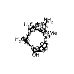 C=C1CC2CC[C@]34C[C@@H](O)C(O3)C3O[C@H]5CCC(CC(=O)CC6C(C[C@H]7O[C@@H](CC[C@@H]1O2)C[C@@H](C)C7=C)O[C@H](CC(O)CN)[C@@H]6OC)OC5C(O4)C3I